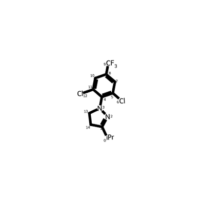 CC(C)C1=NN(c2c(Cl)cc(C(F)(F)F)cc2Cl)CC1